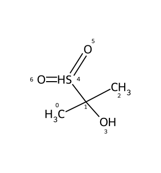 CC(C)(O)[SH](=O)=O